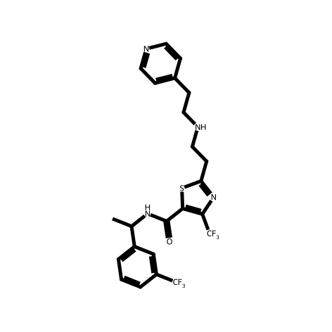 CC(NC(=O)c1sc(CCNCCc2ccncc2)nc1C(F)(F)F)c1cccc(C(F)(F)F)c1